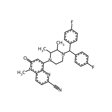 CC1C(C)N(C(c2ccc(F)cc2)c2ccc(F)cc2)CCN1c1cc(=O)n(C)c2ccc(C#N)nc12